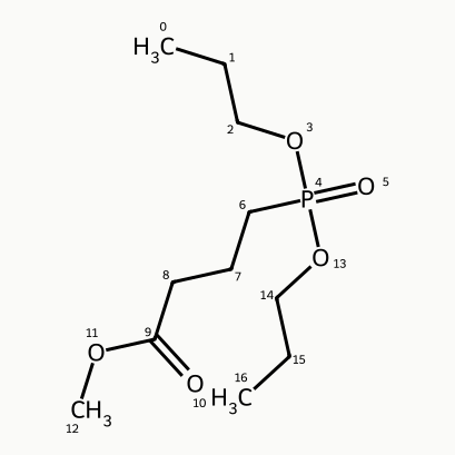 CCCOP(=O)(CCCC(=O)OC)OCCC